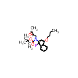 CCCCOc1cc(N(C[C@H]2O[C@@H]2C)C(=O)OC(C)(C)C)c(I)c2ccccc12